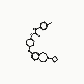 O=C(Nc1ccc(F)cc1)ON1CCC(Oc2ccc3c(c2)CCN(C2CCC2)CC3)CC1